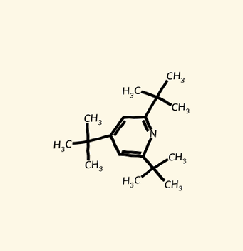 CC(C)(C)c1cc(C(C)(C)C)nc(C(C)(C)C)c1